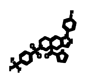 O=C(c1cccs1)C12Cc3cnn(-c4ccc(F)cc4)c3C=C1CCN(S(=O)(=O)c1ccc(C(F)(F)F)cc1)C2